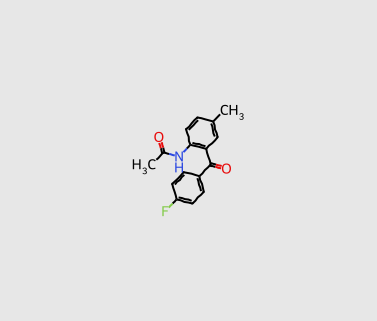 CC(=O)Nc1ccc(C)cc1C(=O)c1ccc(F)cc1